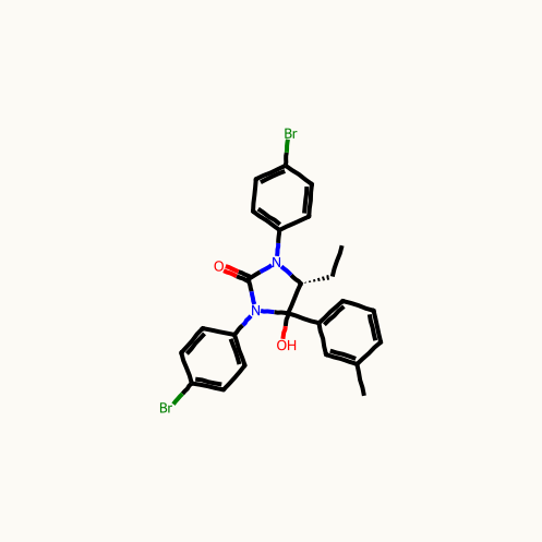 CC[C@H]1N(c2ccc(Br)cc2)C(=O)N(c2ccc(Br)cc2)C1(O)c1cccc(C)c1